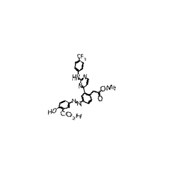 COC(=O)Cc1ccc(N=Nc2ccc(O)c(C(=O)O)c2)cc1-c1ccnc(Nc2ccc(C(F)(F)F)cc2)n1